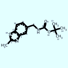 Cc1nc2cc(CNC(=O)OC(C)(C)C)ccc2s1